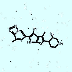 CCC1CNCCC1c1sc2[nH]c(-c3cc(C)c4ncnn4c3)c(C(C)C)c2c1C